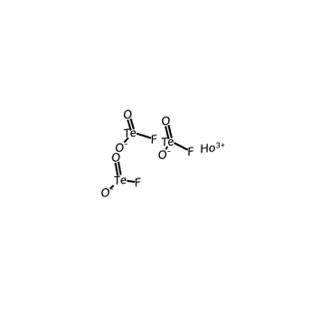 O=[Te]([O-])F.O=[Te]([O-])F.O=[Te]([O-])F.[Ho+3]